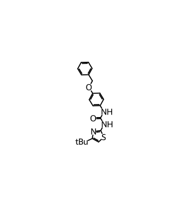 CC(C)(C)c1csc(NC(=O)Nc2ccc(OCc3ccccc3)cc2)n1